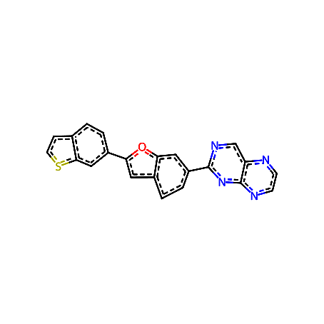 c1cnc2nc(-c3ccc4cc(-c5ccc6ccsc6c5)oc4c3)ncc2n1